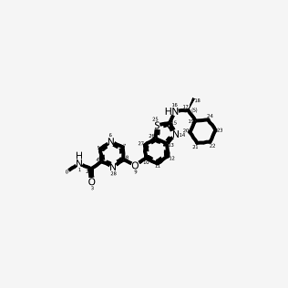 CNC(=O)c1cncc(Oc2ccc3nc(N[C@@H](C)C4CCCCC4)sc3c2)n1